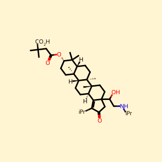 CC(C)NCC(O)C12CC[C@]3(C)[C@H](CC[C@@H]4[C@@]5(C)CC[C@H](OC(=O)CC(C)(C)C(=O)O)C(C)(C)[C@@H]5CC[C@]43C)C1=C(C(C)C)C(=O)C2